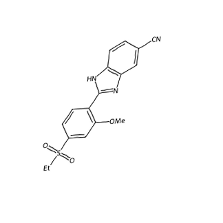 CCS(=O)(=O)c1ccc(-c2nc3cc(C#N)ccc3[nH]2)c(OC)c1